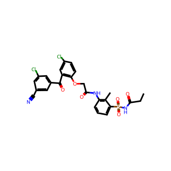 CCC(=O)NS(=O)(=O)c1cccc(NC(=O)COc2ccc(Cl)cc2C(=O)c2cc(Cl)cc(C#N)c2)c1C